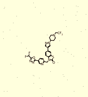 O=c1sc2cc(-c3cnn(C4CCN(CC(F)(F)F)CC4)c3)ccc2n1Cc1ccc(-c2nnc(C(F)F)o2)cn1